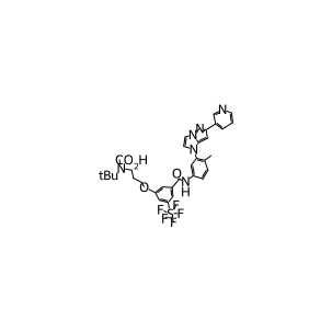 Cc1ccc(NC(=O)c2cc(OCCCN(C(=O)O)C(C)(C)C)cc(S(F)(F)(F)(F)F)c2)cc1-n1ccn2nc(-c3cccnc3)cc12